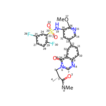 CNC(=O)[C@H](C)Cn1cnc2ccc(-c3cnc(OC)c(NS(=O)(=O)c4cc(F)ccc4F)c3)cc2c1=O